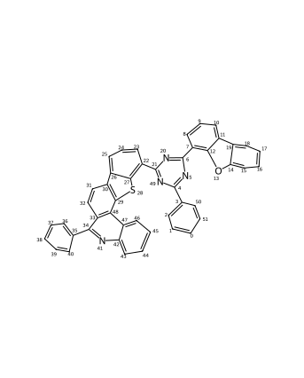 c1ccc(-c2nc(-c3cccc4c3oc3ccccc34)nc(-c3cccc4c3sc3c4ccc4c(-c5ccccc5)nc5ccccc5c43)n2)cc1